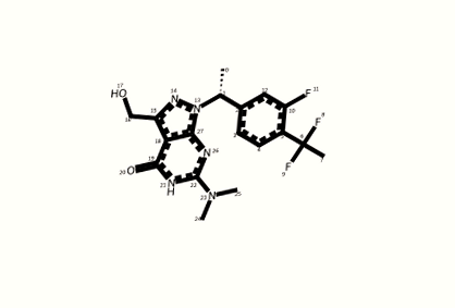 C[C@H](c1ccc(C(C)(F)F)c(F)c1)n1nc(CO)c2c(=O)[nH]c(N(C)C)nc21